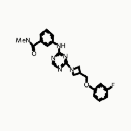 CNC(=O)c1cccc(Nc2ncnc(N3CC(COc4cccc(F)c4)C3)n2)c1